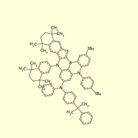 CC(C)(C)c1ccc(N2c3ccc(C(C)(C)C)cc3B3c4sc5cc6c(cc5c4N(c4ccc5c(c4)C(C)(C)CCC5(C)C)c4cc(N(c5ccccc5)c5ccc(C(C)(C)c7ccccc7)cc5)cc2c43)C(C)(C)CCC6(C)C)cc1